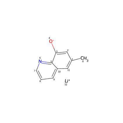 Cc1cc([O-])c2ncccc2c1.[Li+]